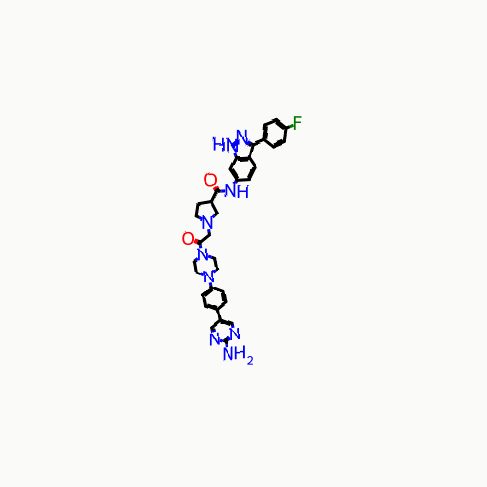 Nc1ncc(-c2ccc(N3CCN(C(=O)CN4CCC(C(=O)Nc5ccc6c(-c7ccc(F)cc7)n[nH]c6c5)C4)CC3)cc2)cn1